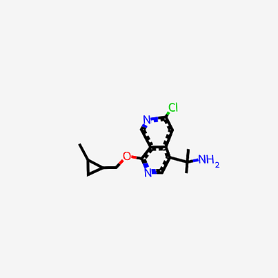 CC1CC1COc1ncc(C(C)(C)N)c2cc(Cl)ncc12